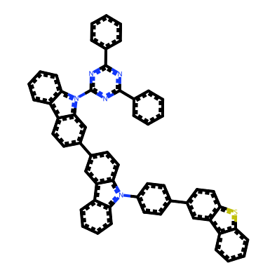 c1ccc(-c2nc(-c3ccccc3)nc(-n3c4ccccc4c4ccc(-c5ccc6c(c5)c5ccccc5n6-c5ccc(-c6ccc7sc8ccccc8c7c6)cc5)cc43)n2)cc1